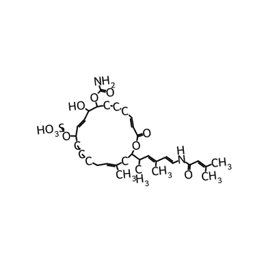 CC(C)=CC(=O)N/C=C/C(C)=C/C(C)C1C/C(C)=C/CCCCC(OS(=O)(=O)O)/C=C/C(O)C(OC(N)=O)CCC/C=C/C(=O)O1